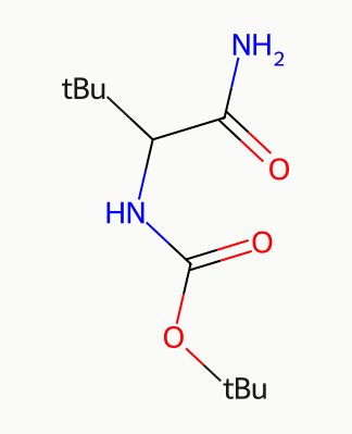 CC(C)(C)OC(=O)NC(C(N)=O)C(C)(C)C